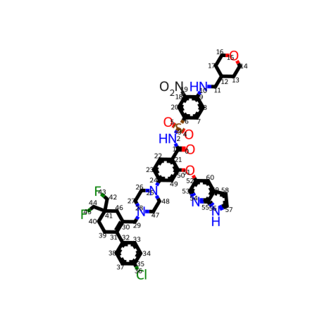 O=C(NS(=O)(=O)c1ccc(NCC2CCOCC2)c([N+](=O)[O-])c1)c1ccc(N2CCN(CC3=C(c4ccc(Cl)cc4)CCC(CF)(CF)C3)CC2)cc1Oc1cnc2[nH]ccc2c1